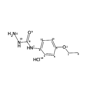 CCOc1ccc(NC(=O)NN)cc1.Cl